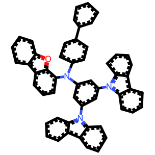 c1ccc(-c2ccc(N(c3cc(-n4c5ccccc5c5ccccc54)cc(-n4c5ccccc5c5ccccc54)c3)c3cccc4c3oc3ccccc34)cc2)cc1